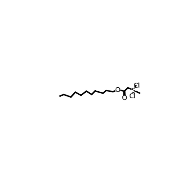 CCCCCCCCCCCOC(=O)CS(C)(Cl)Cl